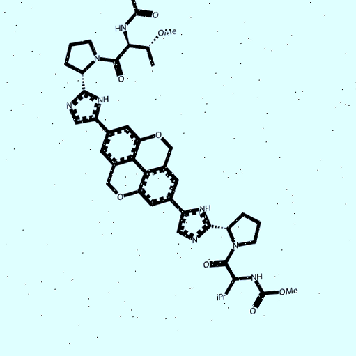 COC(=O)NC(C(=O)N1CCC[C@H]1c1ncc(-c2cc3c4c(c2)OCc2cc(-c5cnc([C@@H]6CCCN6C(=O)[C@@H](NC(=O)OC)[C@@H](C)OC)[nH]5)cc(c2-4)OC3)[nH]1)C(C)C